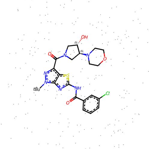 CC(C)(C)n1nc(C(=O)N2C[C@H](O)[C@@H](N3CCOCC3)C2)c2sc(NC(=O)c3cccc(Cl)c3)nc21